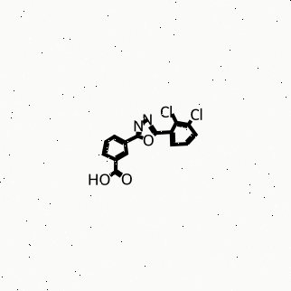 O=C(O)c1cccc(-c2nnc(-c3cccc(Cl)c3Cl)o2)c1